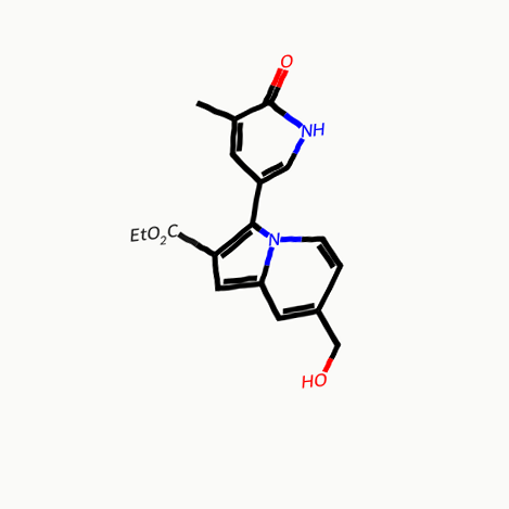 CCOC(=O)c1cc2cc(CO)ccn2c1-c1c[nH]c(=O)c(C)c1